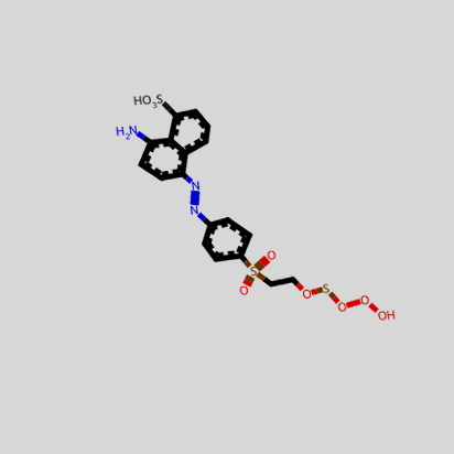 Nc1ccc(/N=N/c2ccc(S(=O)(=O)CCOSOOO)cc2)c2cccc(S(=O)(=O)O)c12